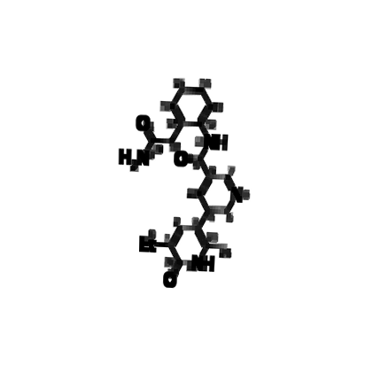 CCc1cc(-c2cncc(C(=O)Nc3ccccc3CC(N)=O)c2)c(C)[nH]c1=O